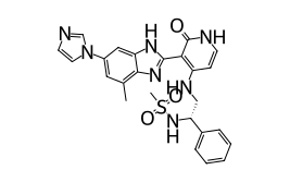 Cc1cc(-n2ccnc2)cc2[nH]c(-c3c(NC[C@@H](NS(C)(=O)=O)c4ccccc4)cc[nH]c3=O)nc12